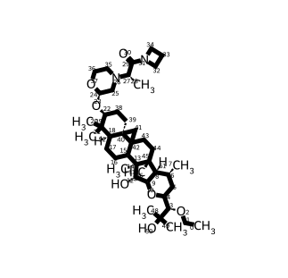 CCO[C@@H](C1C[C@@H](C)[C@H]2C(O1)[C@H](O)[C@@]1(C)C3CC[C@H]4C(C)(C)[C@@H](O[C@H]5CN([C@@H](C)C(=O)N6CCC6)CCO5)CC[C@@]45CC35CC[C@]21C)C(C)(C)O